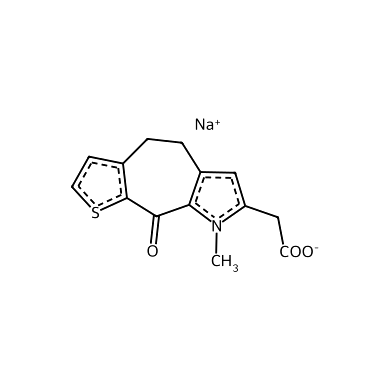 Cn1c(CC(=O)[O-])cc2c1C(=O)c1sccc1CC2.[Na+]